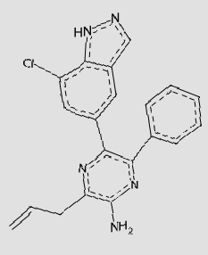 C=CCc1nc(-c2cc(Cl)c3[nH]ncc3c2)c(-c2ccccc2)nc1N